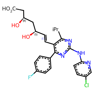 CC(C)c1nc(Nc2ccc(Cl)cn2)nc(-c2ccc(F)cc2)c1/C=C/[C@@H](O)C[C@@H](O)CC(=O)O